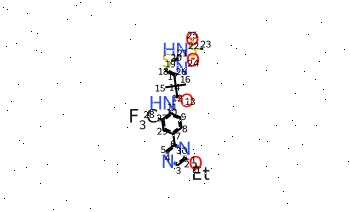 CCOc1cncc(-c2ccc(NC(=O)C(C)(C)c3csc(NS(C)(=O)=O)n3)c(C(F)(F)F)c2)n1